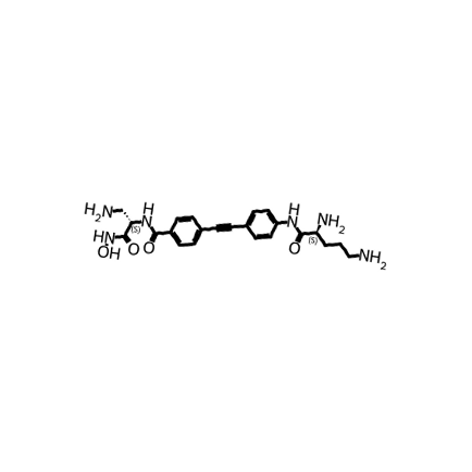 NCCC[C@H](N)C(=O)Nc1ccc(C#Cc2ccc(C(=O)N[C@@H](CN)C(=O)NO)cc2)cc1